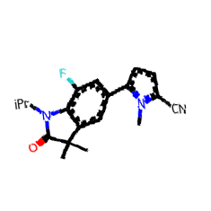 CC(C)N1C(=O)C(C)(C)c2cc(-c3ccc(C#N)n3C)cc(F)c21